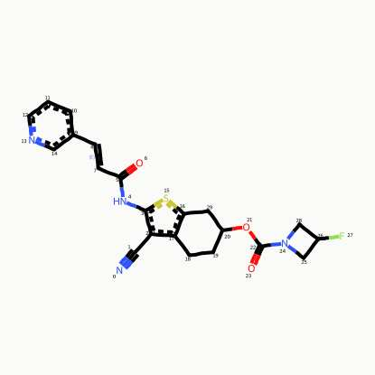 N#Cc1c(NC(=O)/C=C/c2cccnc2)sc2c1CCC(OC(=O)N1CC(F)C1)C2